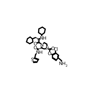 NCc1ccc(OC(=O)N2CCN(C(=O)[C@@H](CC3CCCCC3)NC3CCCCC3)[C@H](C(=O)NCc3cccs3)C2)c(Cl)c1